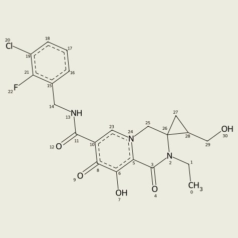 CCN1C(=O)c2c(O)c(=O)c(C(=O)NCc3cccc(Cl)c3F)cn2CC12CC2CO